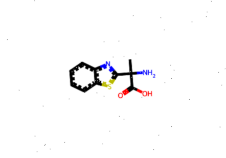 CC(N)(C(=O)O)c1nc2ccccc2s1